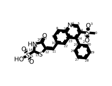 CS(=O)(=O)c1cnc2ccc(C=C3SC(S(=O)(=O)O)NC3=O)cc2c1-c1ccccc1